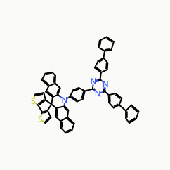 c1ccc(-c2ccc(-c3nc(-c4ccc(-c5ccccc5)cc4)nc(-c4ccc(N5c6cc7ccccc7cc6C6(c7cc8ccccc8cc75)c5ccsc5-c5sccc56)cc4)n3)cc2)cc1